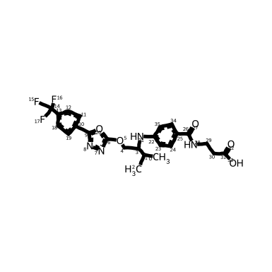 CC(C)C(COc1nnc(-c2ccc(C(F)(F)F)cc2)o1)Nc1ccc(C(=O)NCCC(=O)O)cc1